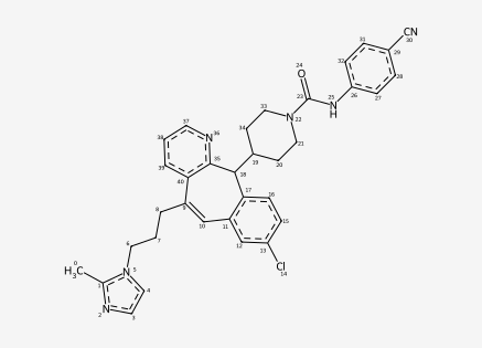 Cc1nccn1CCCC1=Cc2cc(Cl)ccc2C(C2CCN(C(=O)Nc3ccc(C#N)cc3)CC2)c2ncccc21